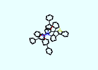 c1ccc(-c2ccc(N(c3ccccc3)c3ccc4c(c3)C3(c5ccccc5-4)c4sc5ccccc5c4-c4cccc(N(c5ccc(-c6ccccc6)cc5)c5ccc(-c6ccccc6)cc5)c43)cc2)cc1